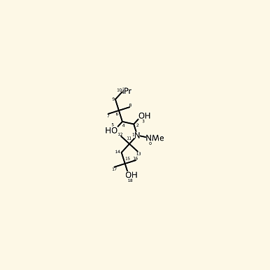 CNN(C(O)C(O)C(C)(C)CC(C)C)C(C)(C)CC(C)(C)O